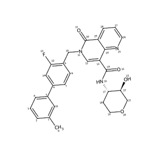 Cc1cccc(-c2ccc(Cn3cc(C(=O)N[C@H]4CCOC[C@@H]4O)c4ncccc4c3=O)c(F)c2)c1